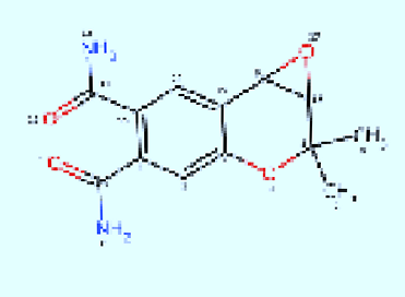 CC1(C)Oc2cc(C(N)=O)c(C(N)=O)cc2C2OC21